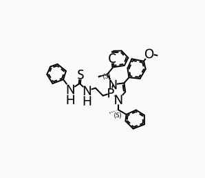 COc1ccc(C2=CN([C@@H](C)c3ccccc3)P(CCNC(=S)Nc3ccccc3)N2[C@@H](C)c2ccccc2)cc1